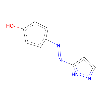 Oc1ccc(/N=N/c2ccn[nH]2)cc1